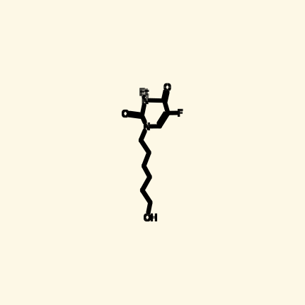 CCn1c(=O)c(F)cn(CCCCCCO)c1=O